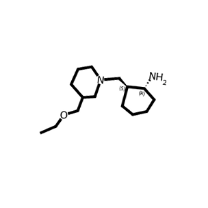 CCOCC1CCCN(C[C@@H]2CCCC[C@H]2N)C1